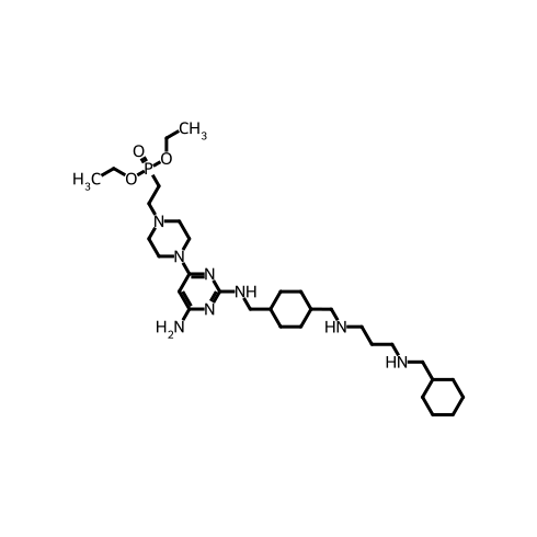 CCOP(=O)(CCN1CCN(c2cc(N)nc(NCC3CCC(CNCCCNCC4CCCCC4)CC3)n2)CC1)OCC